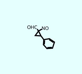 O=CC1(N=O)CC1c1ccccc1